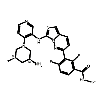 CC(C)NC(=O)c1ccc(F)c(-c2ccc3cnc(Nc4cnccc4N4C[C@H](C)C[C@H](N)C4)n3n2)c1F